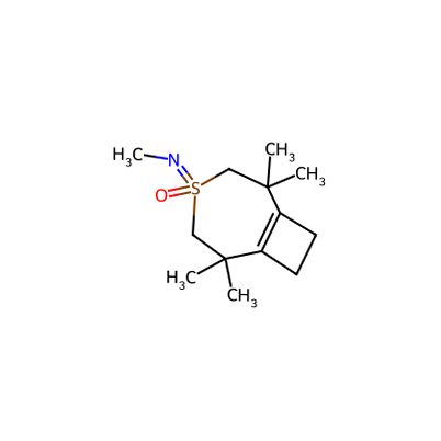 CN=S1(=O)CC(C)(C)C2=C(CC2)C(C)(C)C1